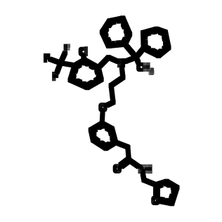 CC(c1ccccc1)(c1ccccc1)N(CCCOc1cccc(CC(=O)NCc2ccco2)c1)Cc1cccc(C(F)(F)F)c1Cl